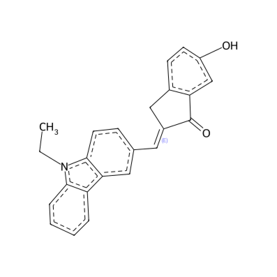 CCn1c2ccccc2c2cc(/C=C3\Cc4ccc(O)cc4C3=O)ccc21